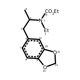 CCOC(=O)N(CC)C(C)Cc1ccc2c(c1)OCO2